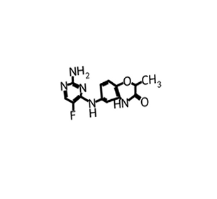 CC1Oc2ccc(Nc3nc(N)ncc3F)cc2NC1=O